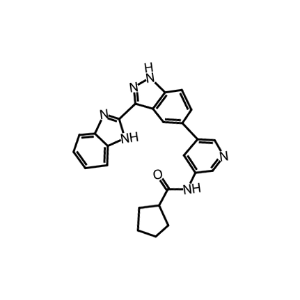 O=C(Nc1cncc(-c2ccc3[nH]nc(-c4nc5ccccc5[nH]4)c3c2)c1)C1CCCC1